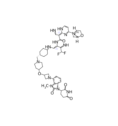 Cn1c(=O)n(C2CCC(=O)NC2=O)c2cccc(N3CC(OC4CCN(C[C@H]5CC[C@H](N/C=C(\NC(=O)/C(C=N)=C6\N=C(N7C[C@H]8C[C@@H]7CO8)C=CN6)C(=N)C(F)F)CC5)CC4)C3)c21